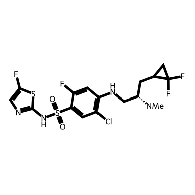 CN[C@H](CNc1cc(F)c(S(=O)(=O)Nc2ncc(F)s2)cc1Cl)CC1CC1(F)F